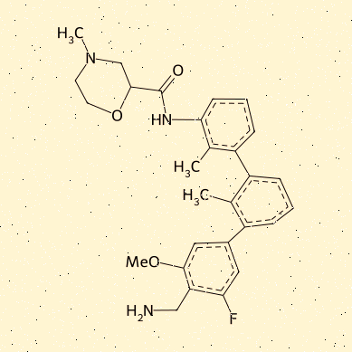 COc1cc(-c2cccc(-c3cccc(NC(=O)C4CN(C)CCO4)c3C)c2C)cc(F)c1CN